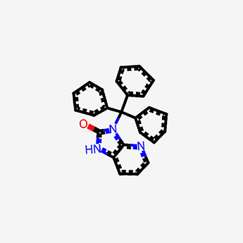 O=c1[nH]c2cccnc2n1C(c1ccccc1)(c1ccccc1)c1ccccc1